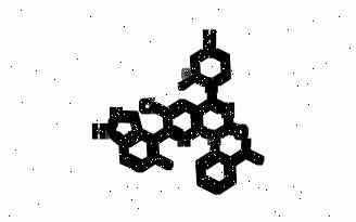 Cc1ccc2[nH]ncc2c1-c1nc2c(cc1Cl)c(N1CCNC[C@@H]1C)nc(=O)n2-c1ccccc1C(C)C